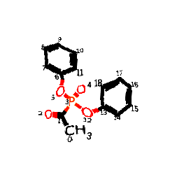 CC(=O)P(=O)(Oc1ccccc1)Oc1ccccc1